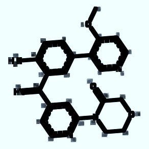 COc1ccncc1-c1ccc(N)c(C(=N)c2ccnc(N3CCOCC3=O)c2)c1